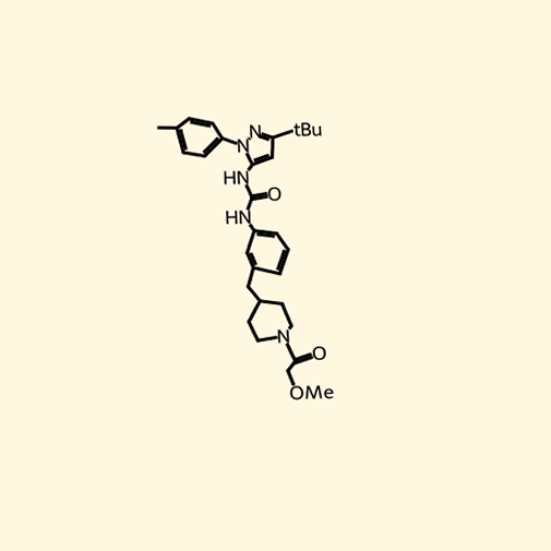 COCC(=O)N1CCC(Cc2cccc(NC(=O)Nc3cc(C(C)(C)C)nn3-c3ccc(C)cc3)c2)CC1